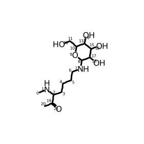 CNC(CCCCNC1OC(CO)C(O)C(O)C1O)C(C)=O